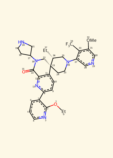 CCOc1ncccc1-c1ccc2c(n1)C(=O)N(C1CCNC1)C[C@]21CCN(c2cncc(OC)c2C(F)(F)F)C[C@H]1CC